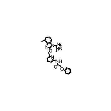 Cc1cccc2c1nc(OCc1cccc(NC(=O)COc3ccccc3)n1)n2-c1nnnn1C